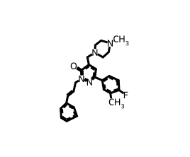 Cc1cc(-c2cc(CN3CCN(C)CC3)c(=O)n(CC=Cc3ccccc3)n2)ccc1F